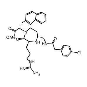 COC(=O)[C@H](Cc1ccc2ccccc2c1)N1CC[C@H](CNC(=O)Cc2ccc(Cl)cc2)N[C@@H](CCCNC(=N)N)C1=O